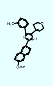 COc1ccc2cc(-c3nc(-c4cccc(C)c4)c(C4=CCOCC4)[nH]3)ccc2c1